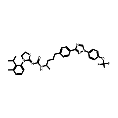 Cc1cccc(N2CCS/C2=N\C(=O)NC(C)CCCc2ccc(-c3ncn(-c4ccc(OC(F)(F)F)cc4)n3)cc2)c1C(C)C